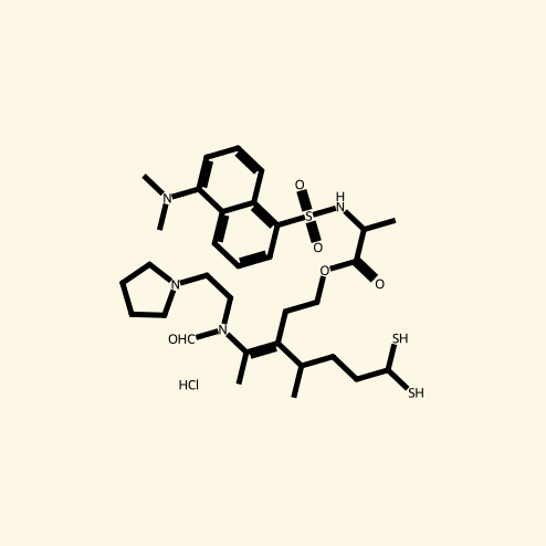 CC(=C(CCOC(=O)C(C)NS(=O)(=O)c1cccc2c(N(C)C)cccc12)C(C)CCC(S)S)N(C=O)CCN1CCCC1.Cl